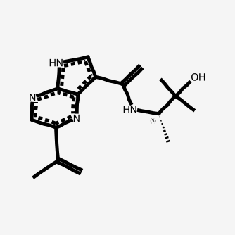 C=C(C)c1cnc2[nH]cc(C(=C)N[C@@H](C)C(C)(C)O)c2n1